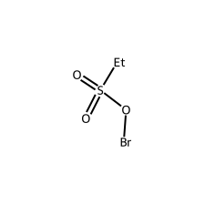 CCS(=O)(=O)OBr